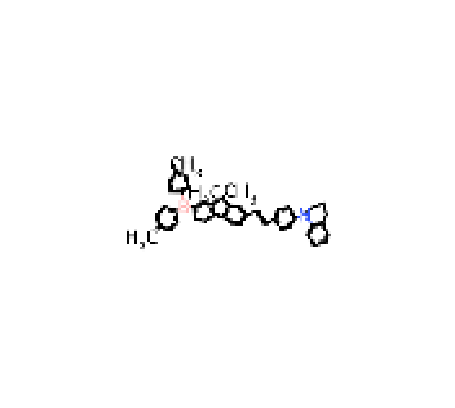 Cc1ccc(B(c2ccc(C)cc2)c2ccc3c(c2)C(C)(C)c2cc(/C=C/c4ccc(N5CCCc6ccccc65)cc4)ccc2-3)cc1